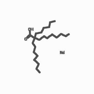 CCCCCCCCC(CCCCCC)(CCCCCCCC)C(=O)O.[Nd]